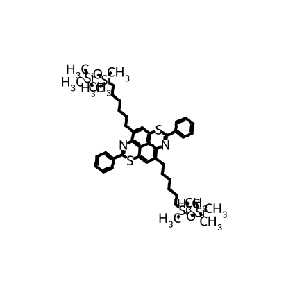 C[Si](C)(C)O[Si](C)(C)CCCCCCc1cc2c3c(c(CCCCCC[Si](C)(C)O[Si](C)(C)C)cc4c3c1N=C(c1ccccc1)S4)N=C(c1ccccc1)S2